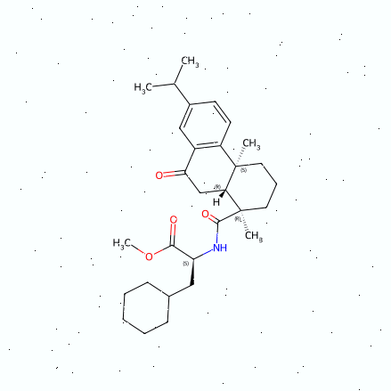 COC(=O)[C@H](CC1CCCCC1)NC(=O)[C@]1(C)CCC[C@]2(C)c3ccc(C(C)C)cc3C(=O)C[C@@H]12